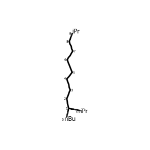 CCCCC(CCCCCCCC(C)C)C(C)C